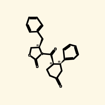 O=C1CC[C@@H](C(=O)N2C(=O)OC[C@H]2Cc2ccccc2)[C@H](c2ccccc2)C1